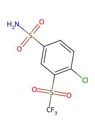 NS(=O)(=O)c1ccc(Cl)c(S(=O)(=O)C(F)(F)F)c1